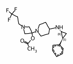 CC(=O)OC1(N2CCC(N[C@@H]3C[C@H]3c3ccccc3)CC2)CN(CCC(F)(F)F)C1